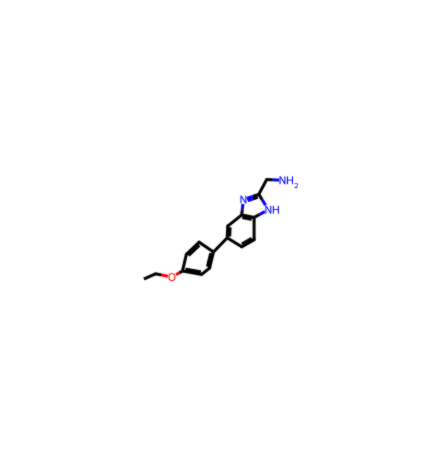 CCOc1ccc(-c2ccc3[nH]c(CN)nc3c2)cc1